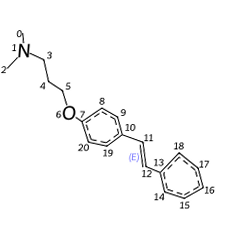 CN(C)CCCOc1ccc(/C=C/c2ccccc2)cc1